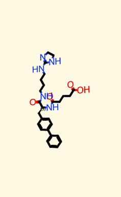 O=C(O)CCCC(=O)N[C@@H](Cc1ccc(-c2ccccc2)cc1)C(=O)NCCCCNC1=NCCN1